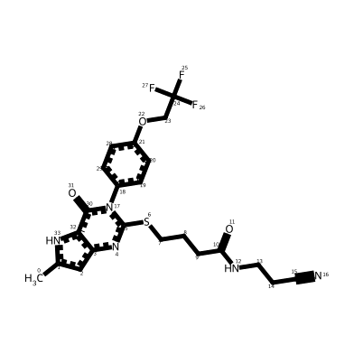 Cc1cc2nc(SCCCC(=O)NCCC#N)n(-c3ccc(OCC(F)(F)F)cc3)c(=O)c2[nH]1